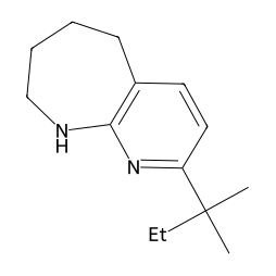 CCC(C)(C)c1ccc2c(n1)NCCCC2